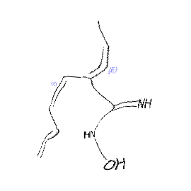 C=C/C=C\C(=C/C)C(=N)NO